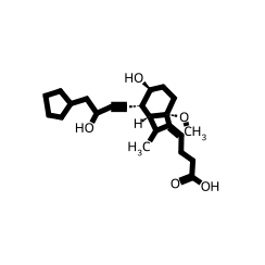 CO[C@@]12CC[C@H](O)[C@@H](C#CC(O)CC3CCCC3)[C@@H]1C(C)C2=CCCC(=O)O